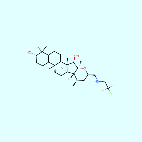 C[C@@H]1C[C@H](CNCC(F)(F)F)O[C@H]2[C@H]1[C@@]1(C)CC[C@@]34C[C@@]35CC[C@H](O)C(C)(C)C5CCC4[C@]1(C)[C@H]2O